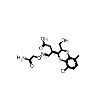 Cc1ccc(Cl)c2c1SC(CO)/C(=C(/C=N/OCC(N)=O)CC(=O)O)S2